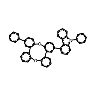 c1ccc(-c2ccc3c(c2)-c2ccccc2Oc2ccccc2-c2cc(-c4cccc5c4c4ccccc4n5-c4ccccc4)ccc2O3)cc1